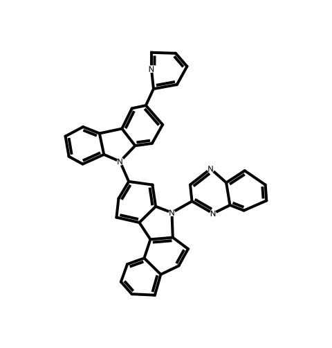 c1ccc(-c2ccc3c(c2)c2ccccc2n3-c2ccc3c4c5ccccc5ccc4n(-c4cnc5ccccc5n4)c3c2)nc1